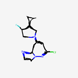 FC1CN(c2cc(Cl)nn3ccnc23)CC12CC2